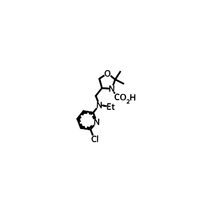 CCN(CC1COC(C)(C)N1C(=O)O)c1cccc(Cl)n1